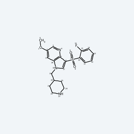 COc1cnc2c(S(=O)(=O)c3ccccc3F)cn(CC3CCNCC3)c2c1